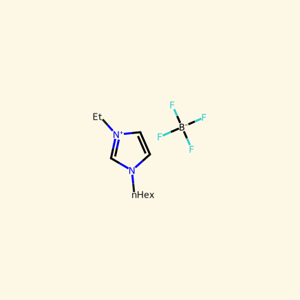 CCCCCCn1cc[n+](CC)c1.F[B-](F)(F)F